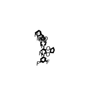 Nc1ncccc1CS(=O)(=O)N1CCN(c2cnn(-c3cc(F)cc(F)c3)c(=O)c2OC2CCCC2)CC1